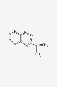 C=C(C)c1cnc2ncccc2n1